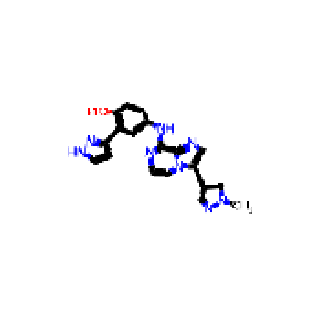 CN1CC(c2cnc3c(Nc4ccc(O)c(-c5cc[nH]n5)c4)nccn23)C=N1